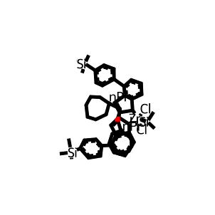 CCCC1(CC2=Cc3c(-c4ccc([Si](C)(C)C)cc4)cccc3[CH]2[Zr]([Cl])([Cl])([CH]2C(CC3(CCC)CCCCCC3)=Cc3c(-c4ccc([Si](C)(C)C)cc4)cccc32)[SiH](C)C)CCCCCC1